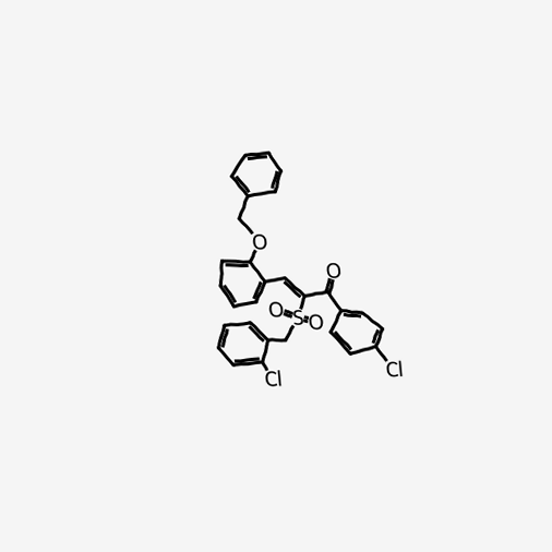 O=C(C(=Cc1ccccc1OCc1ccccc1)S(=O)(=O)Cc1ccccc1Cl)c1ccc(Cl)cc1